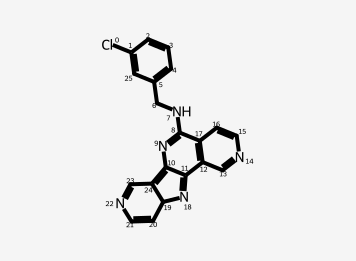 Clc1cccc(CNc2nc3c(c4cnccc24)=NC2C=CN=CC=32)c1